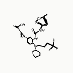 Cc1cc(NC(=O)Nc2cc([C@H]3C[C@H]3C(=O)O)ccc2N(CCCC(F)(F)F)C2CCCCC2)no1